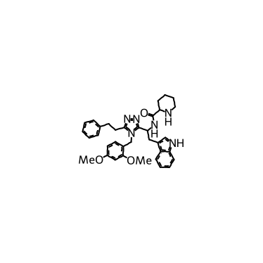 COc1ccc(Cn2c(CCc3ccccc3)nnc2C(Cc2c[nH]c3ccccc23)NC(=O)C2CCCCN2)c(OC)c1